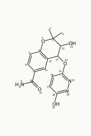 CC1(C)Oc2ccc(C(N)=O)cc2C(Oc2ccc(O)nn2)C1O